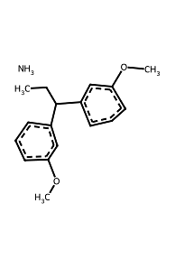 CCC(c1cccc(OC)c1)c1cccc(OC)c1.N